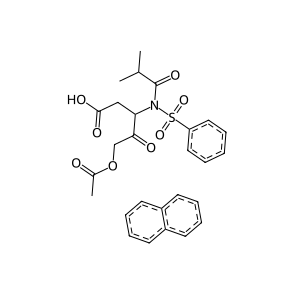 CC(=O)OCC(=O)C(CC(=O)O)N(C(=O)C(C)C)S(=O)(=O)c1ccccc1.c1ccc2ccccc2c1